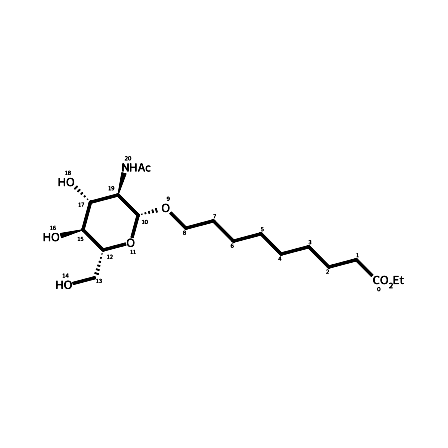 CCOC(=O)CCCCCCCCO[C@@H]1O[C@H](CO)[C@@H](O)[C@H](O)[C@H]1NC(C)=O